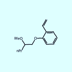 [CH]=Cc1cc[c]cc1OCC(CCC)OC